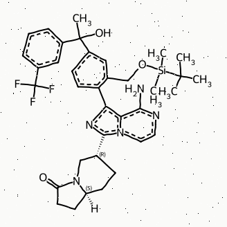 CC(O)(c1cccc(C(F)(F)F)c1)c1ccc(-c2nc([C@@H]3CC[C@H]4CCC(=O)N4C3)n3ccnc(N)c23)c(CO[Si](C)(C)C(C)(C)C)c1